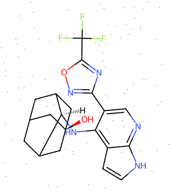 O[C@]12CC3CC(C1)[C@H](Nc1c(-c4noc(C(F)(F)F)n4)cnc4[nH]ccc14)C(C3)C2